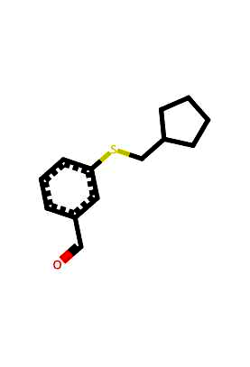 O=Cc1cccc(SCC2CCCC2)c1